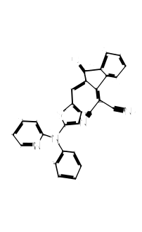 N#CC(C#N)=C1/C(=C\c2ccc(N(c3ccccc3)c3ccccn3)s2)C(=O)c2ccccc21